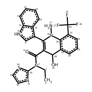 CCN(C(=O)C1=C(c2c[nH]c3ccccc23)N(N)c2c(cccc2C(F)(F)F)C1O)c1nccs1